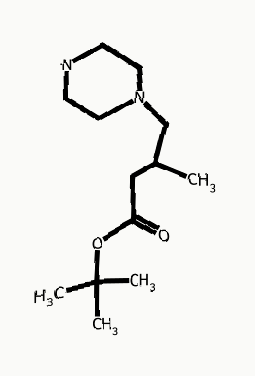 CC(CC(=O)OC(C)(C)C)CN1CC[N]CC1